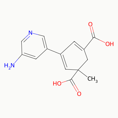 CC1(C(=O)O)C=C(c2cncc(N)c2)C=C(C(=O)O)C1